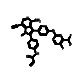 C=CC(=O)Nc1ccc(-c2c(-c3ccc(Oc4ncc(F)c(C(F)F)n4)cc3)c3c(N)ncc(C#N)c3n2C)cc1